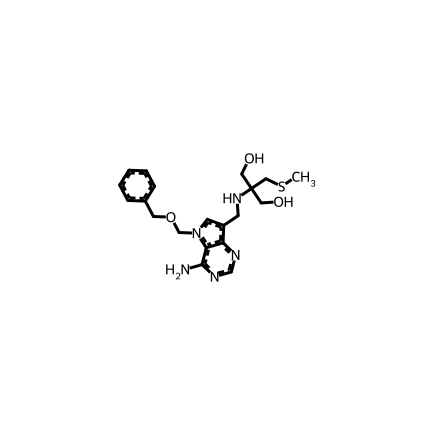 CSCC(CO)(CO)NCc1cn(COCc2ccccc2)c2c(N)ncnc12